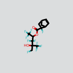 O=C(OC(C(F)(F)F)C(F)(F)C(O)(CF)C(F)(F)F)C1(F)CC2C=CC1C2